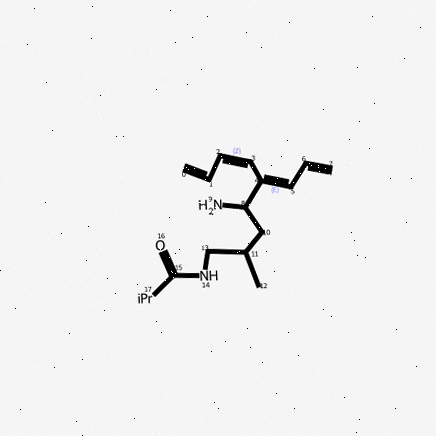 C=C/C=C\C(=C/C=C)C(N)CC(C)CNC(=O)C(C)C